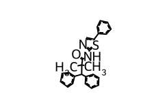 CC(C)(C(=O)Nc1ncc(-c2ccccc2)s1)C(c1ccccc1)c1ccccc1